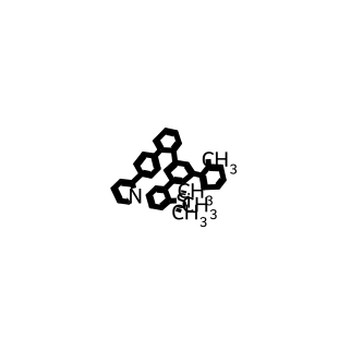 Cc1ccccc1-c1cc(-c2ccccc2-c2ccc(-c3ccccn3)cc2)cc(-c2ccccc2[Si](C)(C)C)c1